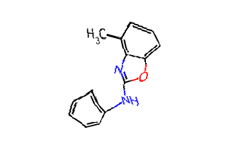 Cc1cccc2oc(Nc3ccccc3)nc12